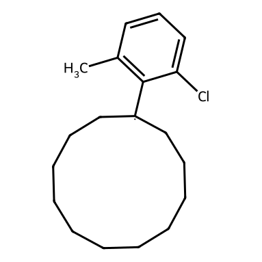 Cc1cccc(Cl)c1[C]1CCCCCCCCCCC1